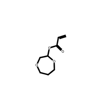 C=CC(=O)OC1COCCCO1